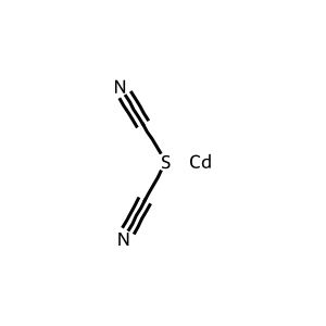 N#CSC#N.[Cd]